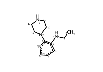 CCNc1cccnc1N1CCNCC1